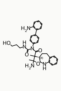 CC(C)(N)C(C)(C(=O)N(C(=O)NCCCO)c1ccc(-c2ccccc2N)cc1)[C@H]1CCc2ccccc2NC1=O